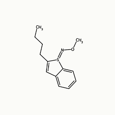 CCCCC1=Cc2ccccc2S1=NOC